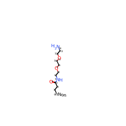 CCCCCCCCCCCC(=O)NCCOCCOCCN